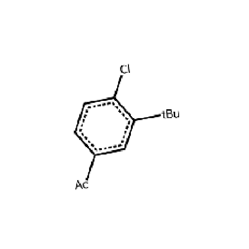 CC(=O)c1ccc(Cl)c(C(C)(C)C)c1